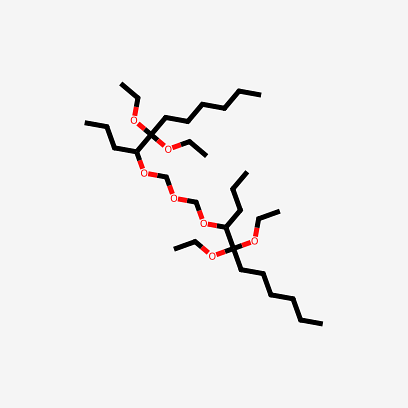 CCCCCCC(OCC)(OCC)C(CCC)OCOCOC(CCC)C(CCCCCC)(OCC)OCC